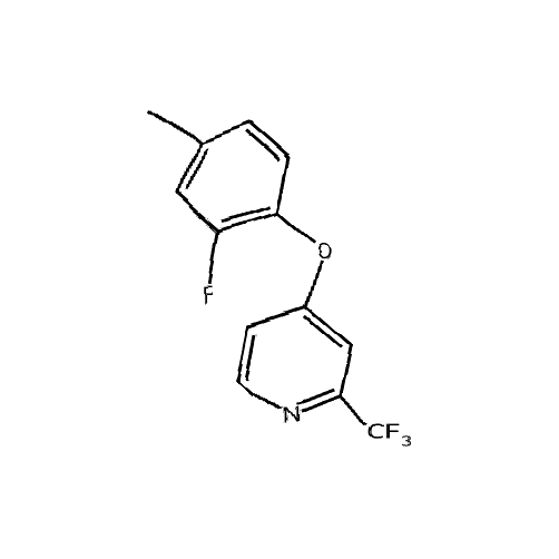 Cc1ccc(Oc2ccnc(C(F)(F)F)c2)c(F)c1